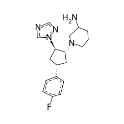 NC1CCCN([C@@H]2C[C@H](c3ccc(F)cc3)C[C@H]2n2cncn2)C1